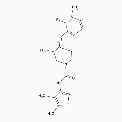 Cc1cccc(/C=C2\CCN(C(=O)Nc3noc(C)c3C)CC2C)c1F